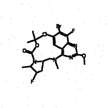 COc1nc(N(C)CC2CC(F)C(C)N2C(=O)OC(C)(C)C)c2cc(Cl)c(Br)c(F)c2n1